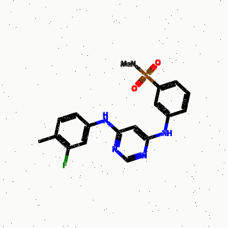 CNS(=O)(=O)c1cccc(Nc2cc(Nc3ccc(C)c(F)c3)ncn2)c1